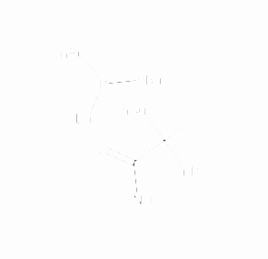 CCCCC(Cl)(CCCC)C(N)=O.CCCCP(CCCC)CCCC